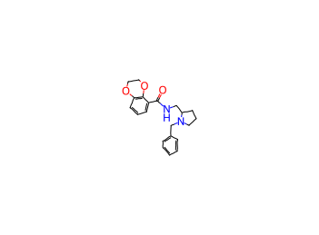 O=C(NCC1CCCN1Cc1ccccc1)c1cccc2c1OCCO2